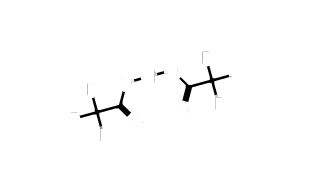 O=C([O][Tl][O]C(=O)C(F)(F)F)C(F)(F)F